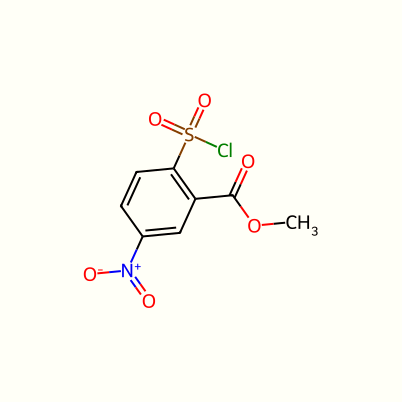 COC(=O)c1cc([N+](=O)[O-])ccc1S(=O)(=O)Cl